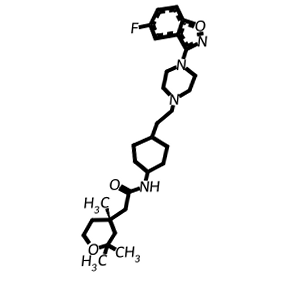 CC1(C)C[C@@](C)(CC(=O)NC2CCC(CCN3CCN(c4noc5ccc(F)cc45)CC3)CC2)CCO1